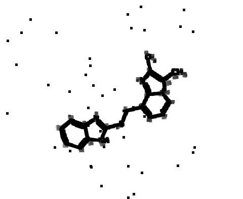 Cc1nc2c(CSc3nc4ccccc4[nH]3)cccn2c1C